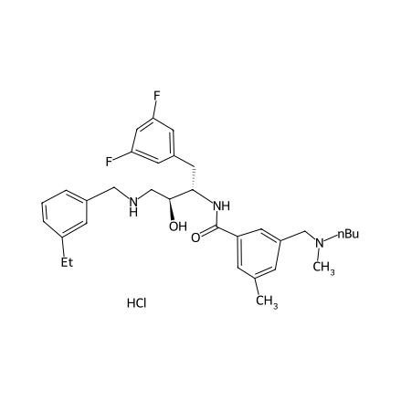 CCCCN(C)Cc1cc(C)cc(C(=O)N[C@@H](Cc2cc(F)cc(F)c2)[C@@H](O)CNCc2cccc(CC)c2)c1.Cl